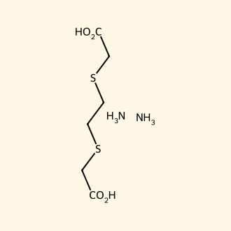 N.N.O=C(O)CSCCSCC(=O)O